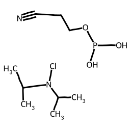 CC(C)N(Cl)C(C)C.N#CCCOP(O)O